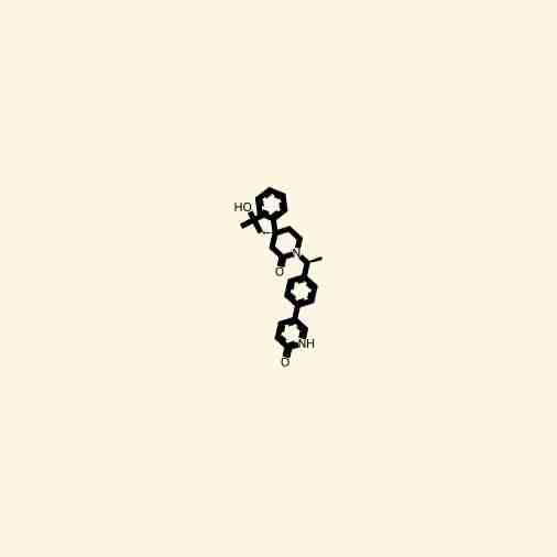 C[C@@H](c1ccc(-c2ccc(=O)[nH]c2)cc1)N1CC[C@](CC(C)(C)O)(c2ccccc2)CC1=O